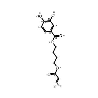 C=CC(=O)OCCCCOC(=O)c1ccc(O)c(Cl)c1